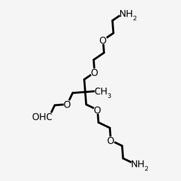 CC(COCC=O)(COCCOCCN)COCCOCCN